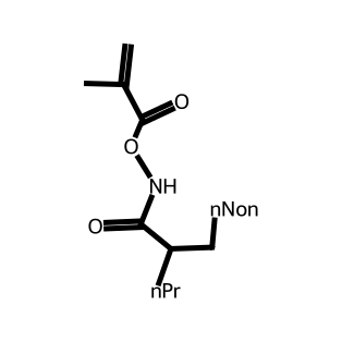 C=C(C)C(=O)ONC(=O)C(CCC)CCCCCCCCCC